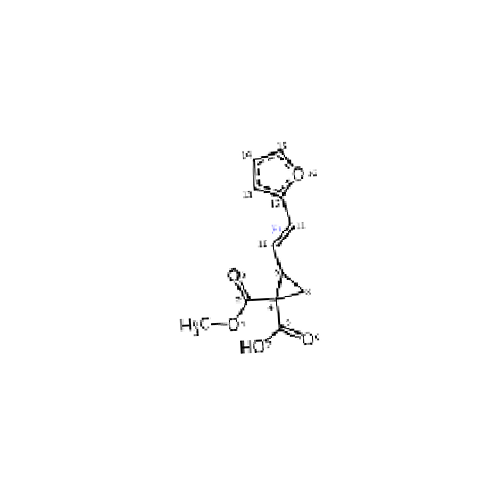 COC(=O)C1(C(=O)O)CC1/C=C/c1ccco1